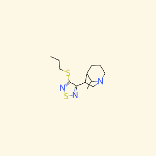 CCCSc1nsnc1C1CN2CCCC1C2C